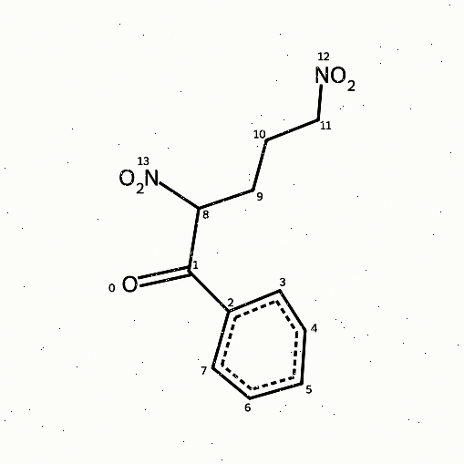 O=C(c1ccccc1)C(CCC[N+](=O)[O-])[N+](=O)[O-]